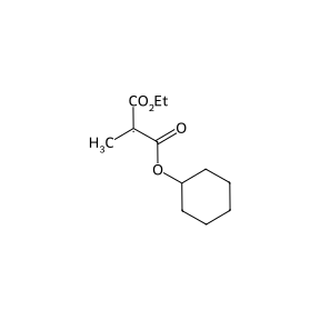 CCOC(=O)[C](C)C(=O)OC1CCCCC1